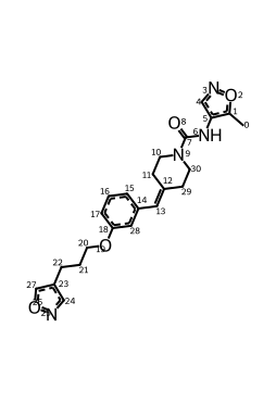 Cc1oncc1NC(=O)N1CCC(=Cc2cccc(OCCCc3cnoc3)c2)CC1